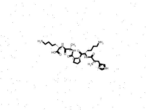 C[C@H](NC(=O)[C@@H]1CCCN1C(=O)[C@H](CCCCN)NC(=O)[C@@H](N)Cc1c[nH]cn1)C(=O)N[C@@H](CCCCN)C(=O)O